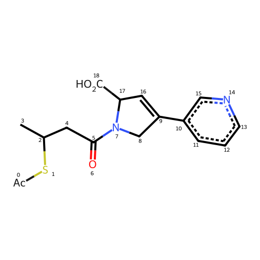 CC(=O)SC(C)CC(=O)N1CC(c2cccnc2)=CC1C(=O)O